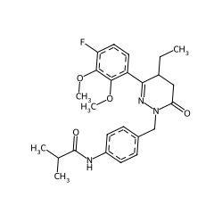 CCC1CC(=O)N(Cc2ccc(NC(=O)C(C)C)cc2)N=C1c1ccc(F)c(OC)c1OC